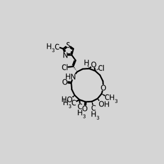 Cc1nc(C=C(Cl)[C@@H]2C[C@H]3O[C@@]3(Cl)CCO[C@@H](C)[C@@H](O)[C@@H](C)C(=O)C(C)(C)[C@@H](O)CC(=O)N2)cs1